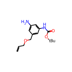 C=CCOCc1cc(N)cc(NC(=O)OC(C)(C)C)c1